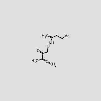 C=C=C(C)C(=O)CONC(=C)CCC(C)=O